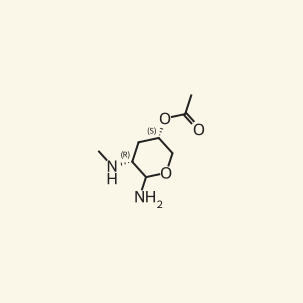 CN[C@@H]1C[C@H](OC(C)=O)COC1N